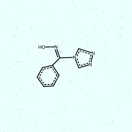 O/N=C(\c1ccccc1)n1cnnc1